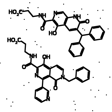 O=C(O)CCNC(=O)c1nc(-c2cccnc2)c2c(=O)n(Cc3ccccc3)ccc2c1O.O=C(O)CCNC(=O)c1ncc2[nH]c(=O)c(C(c3ccccc3)c3ccccc3)cc2c1O